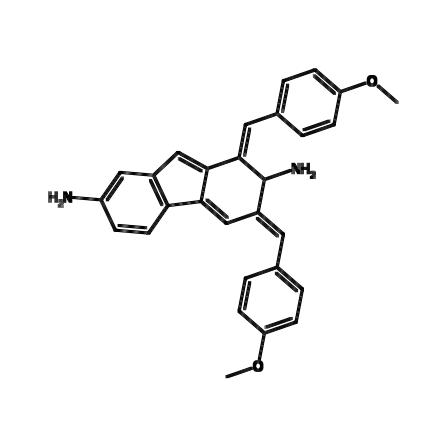 COc1ccc(C=C2C=C3C(=Cc4cc(N)ccc43)C(=Cc3ccc(OC)cc3)C2N)cc1